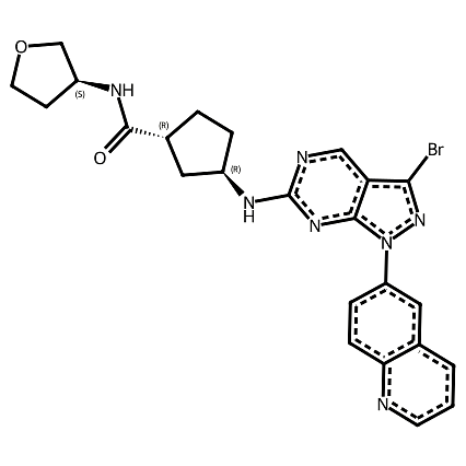 O=C(N[C@H]1CCOC1)[C@@H]1CC[C@@H](Nc2ncc3c(Br)nn(-c4ccc5ncccc5c4)c3n2)C1